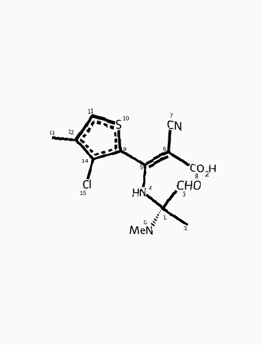 CN[C@@](C)(C=O)N/C(=C(/C#N)C(=O)O)c1scc(C)c1Cl